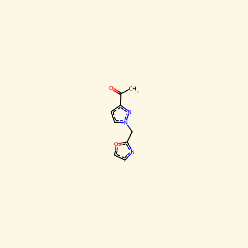 CC(=O)c1ccn(Cc2n[c]co2)n1